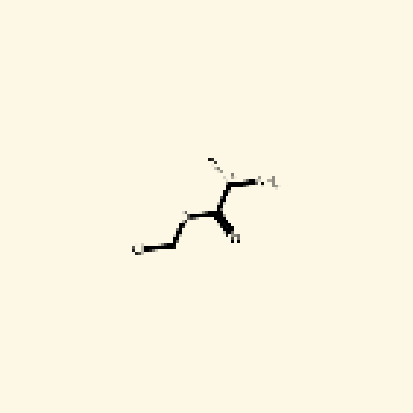 C[C@H](N)C(=O)OCCl